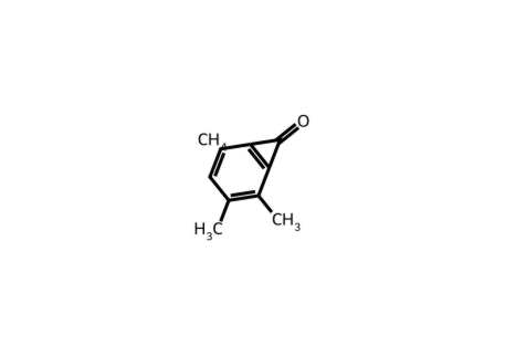 C.Cc1ccc2c(=O)c2c1C